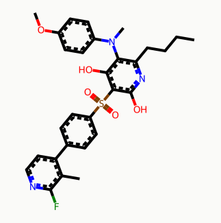 CCCCc1nc(O)c(S(=O)(=O)c2ccc(-c3ccnc(F)c3C)cc2)c(O)c1N(C)c1ccc(OC)cc1